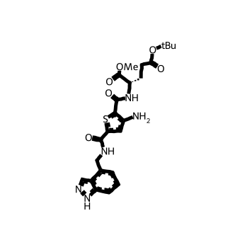 COC(=O)[C@H](CCC(=O)OC(C)(C)C)NC(=O)c1sc(C(=O)NCc2cccc3[nH]ncc23)cc1N